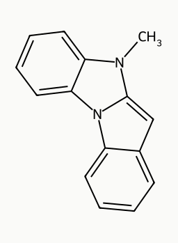 Cn1c2ccccc2n2c3ccccc3cc12